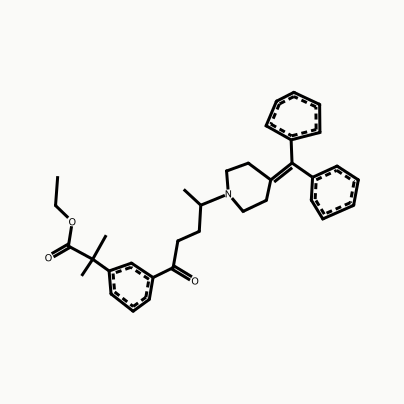 CCOC(=O)C(C)(C)c1cccc(C(=O)CCC(C)N2CCC(=C(c3ccccc3)c3ccccc3)CC2)c1